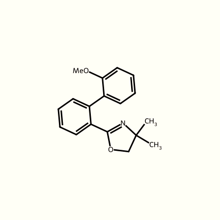 COc1ccccc1-c1ccccc1C1=NC(C)(C)CO1